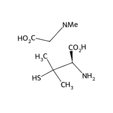 CC(C)(S)[C@H](N)C(=O)O.CNCC(=O)O